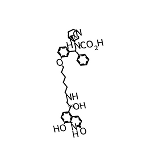 O=C(O)N(C(c1ccccc1)c1cccc(OCCCCCCNC[C@H](O)c2ccc(O)c3[nH]c(=O)ccc23)c1)[C@H]1CN2CCC1CC2